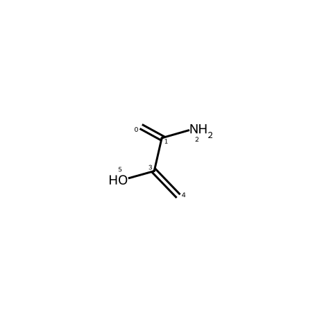 C=C(N)C(=C)O